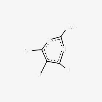 CSc1nc(Cl)c(Cl)c(C#N)n1